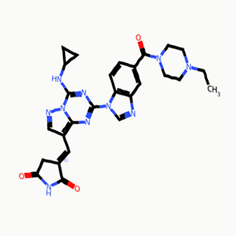 CCN1CCN(C(=O)c2ccc3c(c2)ncn3-c2nc(NC3CC3)n3ncc(/C=C4\CC(=O)NC4=O)c3n2)CC1